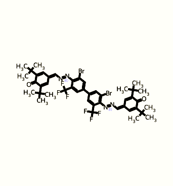 CC(C)(C)C1=CC(=C/N=N/c2c(Br)cc(-c3cc(Br)c(/N=N/C=C4C=C(C(C)(C)C)C(=O)C(C(C)(C)C)=C4)c(C(F)(F)F)c3)cc2C(F)(F)F)C=C(C(C)(C)C)C1=O